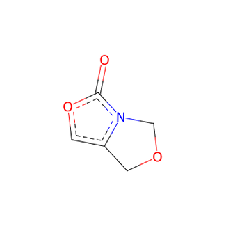 O=c1occ2n1COC2